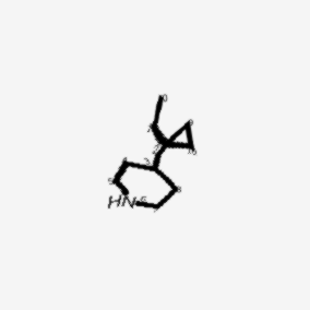 CCC1(C2CCNCC2)CC1